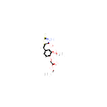 CCOC(=O)COc1ccc(C=C2SC(=S)NC2=O)cc1OC